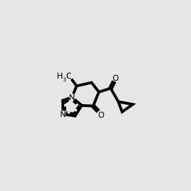 CC1CC(C(=O)C2CC2)C(=O)c2cncn21